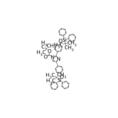 CC(C)(C)OC(=O)n1cc(-c2ccc(O[Si](c3ccccc3)(c3ccccc3)C(C)(C)C)cc2)nc1-c1ccc(O[Si](c2ccccc2)(c2ccccc2)C(C)(C)C)cc1